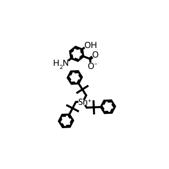 CC(C)([CH2][Sn+]([CH2]C(C)(C)c1ccccc1)[CH2]C(C)(C)c1ccccc1)c1ccccc1.Nc1ccc(O)c(C(=O)[O-])c1